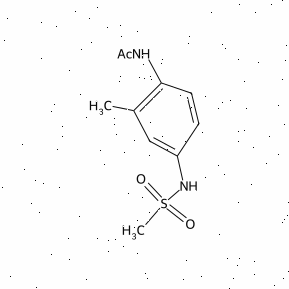 CC(=O)Nc1ccc(NS(C)(=O)=O)cc1C